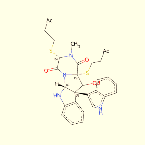 CC(=O)CCS[C@H]1C(=O)N2[C@H]3Nc4ccccc4[C@@]3(c3c[nH]c4ccccc34)C(O)[C@]2(SCCC(C)=O)C(=O)N1C